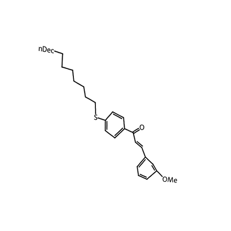 CCCCCCCCCCCCCCCCCSc1ccc(C(=O)C=Cc2cccc(OC)c2)cc1